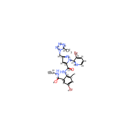 Cc1cc(Br)cc(C(=O)NC(C)(C)C)c1NC(=O)c1cc(Cn2nnnc2C(F)(F)F)nn1-c1ncccc1Br